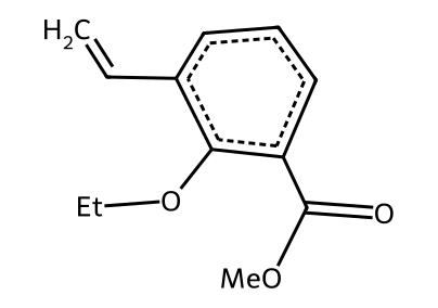 C=Cc1cccc(C(=O)OC)c1OCC